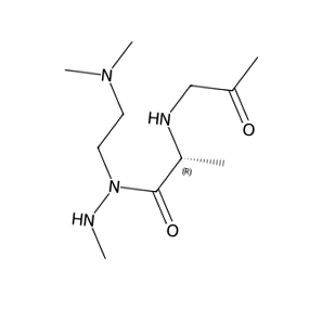 CNN(CCN(C)C)C(=O)[C@@H](C)NCC(C)=O